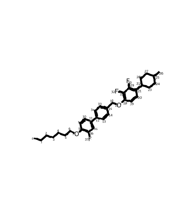 CCCCCCCOc1ccc(-c2ccc(COc3ccc(C4CCC(C)CC4)c(F)c3F)cc2)cc1F